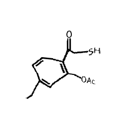 CC(=O)Oc1cc(C)ccc1C(=O)S